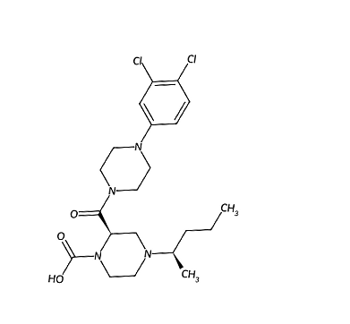 CCC[C@@H](C)N1CCN(C(=O)O)[C@@H](C(=O)N2CCN(c3ccc(Cl)c(Cl)c3)CC2)C1